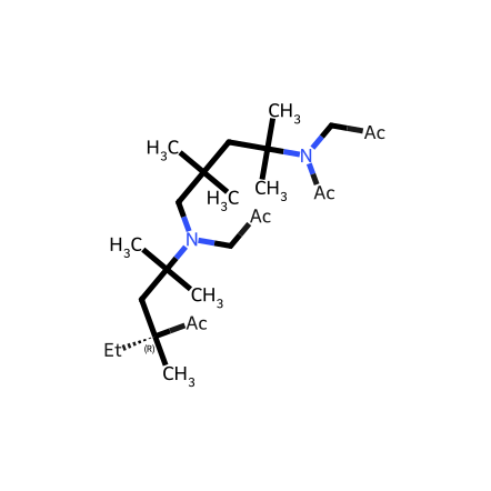 CC[C@](C)(CC(C)(C)N(CC(C)=O)CC(C)(C)CC(C)(C)N(CC(C)=O)C(C)=O)C(C)=O